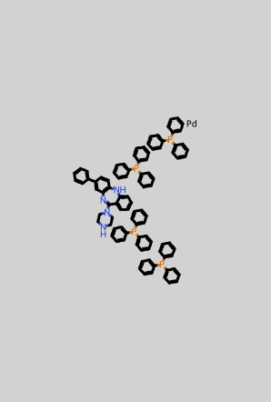 [Pd].c1ccc(-c2ccc3c(c2)N=C(N2CCNCC2)c2ccccc2N3)cc1.c1ccc(P(c2ccccc2)c2ccccc2)cc1.c1ccc(P(c2ccccc2)c2ccccc2)cc1.c1ccc(P(c2ccccc2)c2ccccc2)cc1.c1ccc(P(c2ccccc2)c2ccccc2)cc1